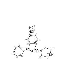 Cl.Cl.c1ccc(-n2cc(N3CCNCC3)c3ccccc32)cc1